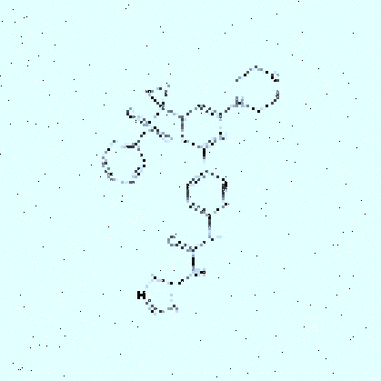 O=C(Nc1ccc(-c2nc(N3CCOCC3)cc(C3(S(=O)(=O)c4ccccc4)CC3)n2)cc1)Nc1ncns1